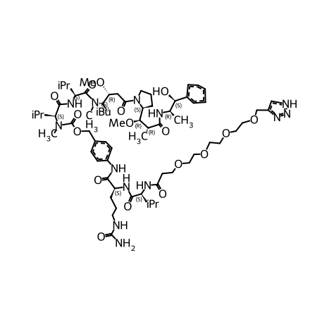 CC[C@H](C)[C@@H]([C@@H](CC(=O)N1CCC[C@H]1[C@H](OC)[C@@H](C)C(=O)N[C@H](C)[C@@H](O)c1ccccc1)OC)N(C)C(=O)[C@@H](NC(=O)[C@H](C(C)C)N(C)C(=O)OCc1ccc(NC(=O)[C@H](CCCNC(N)=O)NC(=O)[C@@H](NC(=O)CCOCCOCCOCCOCc2c[nH]nn2)C(C)C)cc1)C(C)C